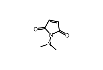 CN(C)N1C(=O)C=CC1=O